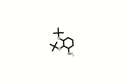 CC(C)(C)OC1CCCC(N)C1OC(C)(C)C